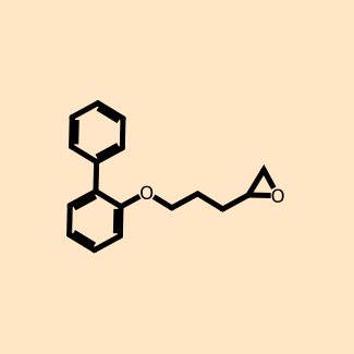 c1ccc(-c2ccccc2OCCCC2CO2)cc1